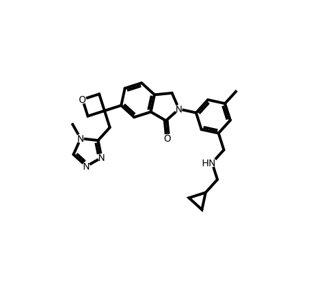 Cc1cc(CNCC2CC2)cc(N2Cc3ccc(C4(Cc5nncn5C)COC4)cc3C2=O)c1